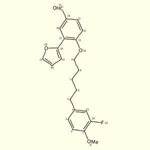 COc1ccc(CCCCCOc2ccc(C=O)cc2-c2ccco2)cc1F